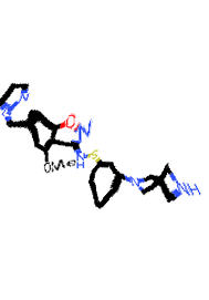 COc1cc(Cn2cccn2)cc2onc(NSc3cccc(N4CC5(CNC5)C4)c3)c12